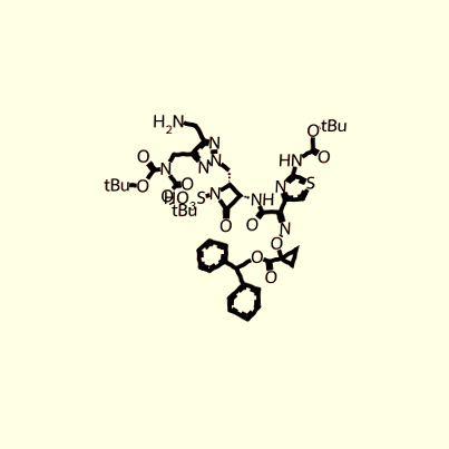 CC(C)(C)OC(=O)Nc1nc(C(=NOC2(C(=O)OC(c3ccccc3)c3ccccc3)CC2)C(=O)N[C@@H]2C(=O)N(S(=O)(=O)O)[C@@H]2Cn2nc(CN)c(CN(C(=O)OC(C)(C)C)C(=O)OC(C)(C)C)n2)cs1